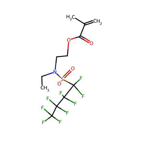 C=C(C)C(=O)OCCN(CC)S(=O)(=O)C(F)(F)C(F)(F)C(F)(F)C(F)(F)F